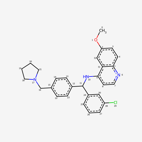 COc1ccc2nccc(NC(c3ccc(CN4CCCC4)cc3)c3cccc(Cl)c3)c2c1